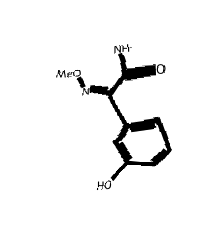 CON=C(C([NH])=O)c1cccc(O)c1